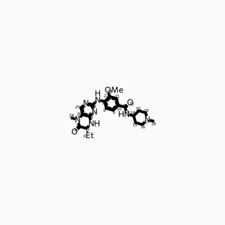 CC[C@H]1Nc2nc(Nc3ccc(C(=O)NC4CCN(C)CC4)cc3OC)ncc2N(C)C1=O